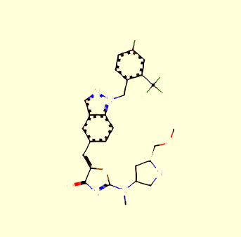 COC[C@@H]1CC(N(C)C2=NC(=O)/C(=C/c3ccc4c(cnn4Cc4ccc(Cl)cc4C(F)(F)F)c3)S2)CN1